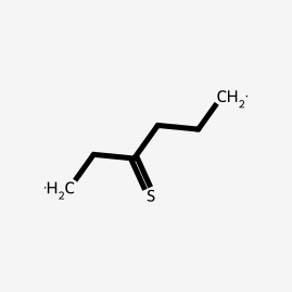 [CH2]CCC(=S)C[CH2]